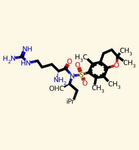 Cc1c(C)c(S(=O)(=O)N(C(=O)[C@H](N)CCCNC(=N)N)[C@H](C=O)CC(C)C)c(C)c2c1OC(C)(C)CC2